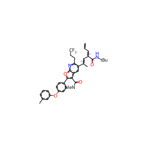 C=C/C=C(\C=C(/C)c1cc2c(C(=O)NC)c(-c3ccc(Oc4cccc(C)c4)cc3)oc2nc1CCC(F)(F)F)C(=O)NC(C)(C)C